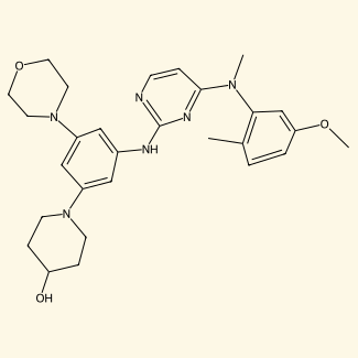 COc1ccc(C)c(N(C)c2ccnc(Nc3cc(N4CCOCC4)cc(N4CCC(O)CC4)c3)n2)c1